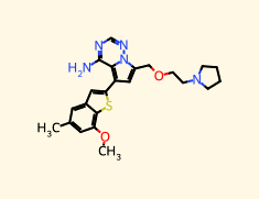 COc1cc(C)cc2cc(-c3cc(COCCN4CCCC4)n4ncnc(N)c34)sc12